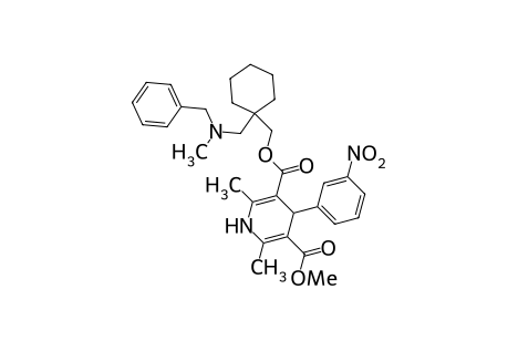 COC(=O)C1=C(C)NC(C)=C(C(=O)OCC2(CN(C)Cc3ccccc3)CCCCC2)C1c1cccc([N+](=O)[O-])c1